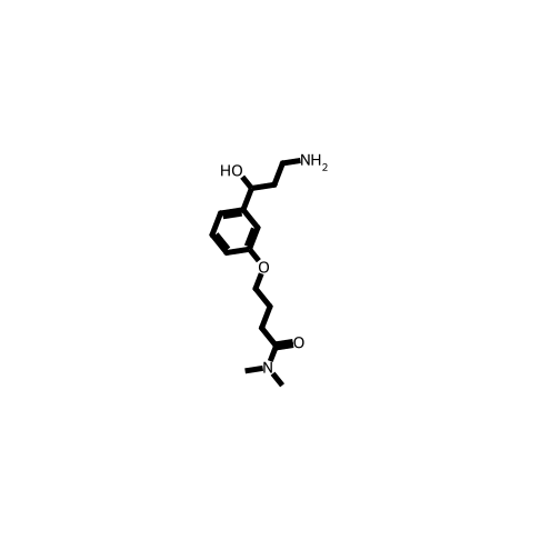 CN(C)C(=O)CCCOc1cccc(C(O)CCN)c1